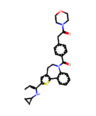 CC=C(NC1CC1)c1cc2c(s1)-c1ccccc1N(C(=O)c1ccc(CC(=O)N3CCOCC3)cc1)CC2